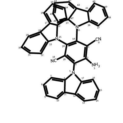 N#Cc1c(N)c(-n2c3ccccc3c3ccccc32)c(C#N)c(-n2c3ccccc3c3ccccc32)c1-n1c2ccccc2c2ccccc21